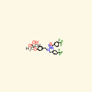 CC(C)(Oc1ccc(CCN(Cc2ccc(C(F)(F)F)cc2)c2noc(-c3ccc(C(F)(F)F)cc3)n2)cc1)C(=O)O